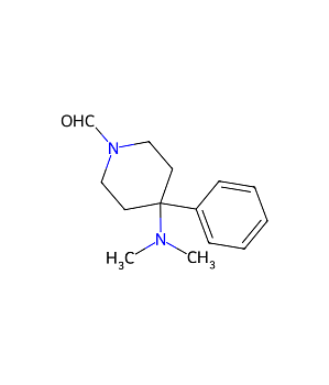 CN(C)C1(c2ccccc2)CCN(C=O)CC1